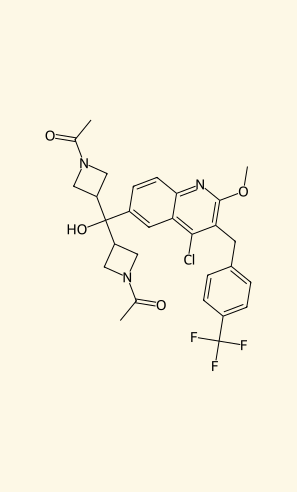 COc1nc2ccc(C(O)(C3CN(C(C)=O)C3)C3CN(C(C)=O)C3)cc2c(Cl)c1Cc1ccc(C(F)(F)F)cc1